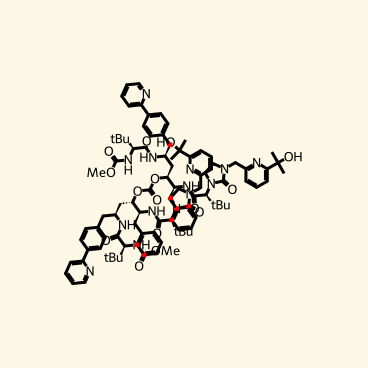 COC(=O)N[C@H](C(=O)N[C@@H](Cc1ccc(-c2ccccn2)cc1)C[C@H](OC(=O)O[C@@H](C[C@H](Cc1ccc(-c2ccccn2)cc1)NC(=O)[C@@H](NC(=O)OC)C(C)(C)C)[C@H](Cc1ccccc1)NC(=O)[C@@H](N1CCN(Cc2cccc(C(C)(C)O)n2)C1=O)C(C)(C)C)[C@H](Cc1ccccc1)NC(=O)[C@@H](N1CCN(Cc2cccc(C(C)(C)O)n2)C1=O)C(C)(C)C)C(C)(C)C